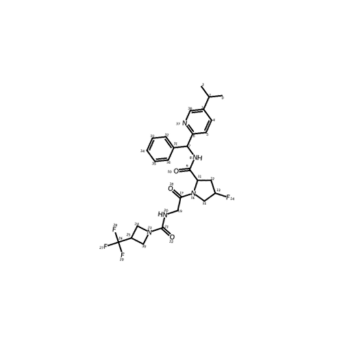 CC(C)c1ccc(C(NC(=O)C2CC(F)CN2C(=O)CNC(=O)N2CC(C(F)(F)F)C2)c2ccccc2)nc1